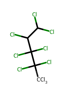 ClC(Cl)C(Cl)C(Cl)(Cl)C(Cl)(Cl)C(Cl)(Cl)Cl